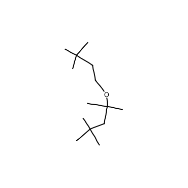 CC(C)(C)CCOC(C)(C)CC(C)(C)C